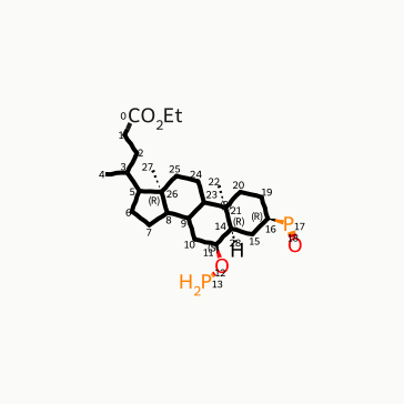 CCOC(=O)CCC(C)C1CCC2C3C[C@H](OP)[C@@H]4C[C@H](P=O)CC[C@]4(C)C3CC[C@]12C